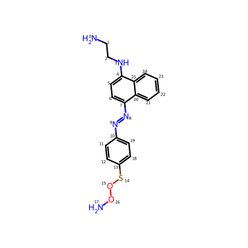 NCCNc1ccc(N=Nc2ccc(SOON)cc2)c2ccccc12